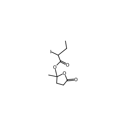 CCC(I)C(=O)OC1(C)CCC(=O)O1